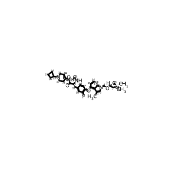 Cc1cn(COCC[Si](C)(C)C)c2nccc(Oc3ccc(C[C@H](NC(=O)O)C(=O)NC4CCN(C5CCC5)CC4)cc3F)c12